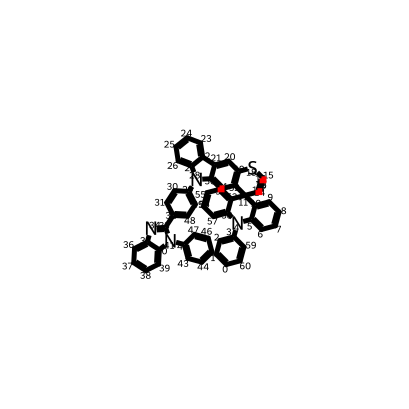 c1ccc(N2c3ccccc3C3(c4ccccc4Sc4cc5c6ccccc6n(-c6ccc(-c7nc8ccccc8n7-c7ccccc7)cc6)c5cc43)c3ccccc32)cc1